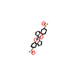 CS(=O)c1ccc([O][Zr]([O]c2ccc(S(C)=O)cc2)([CH]2C=CC=C2)[CH]2C=CC=C2)cc1